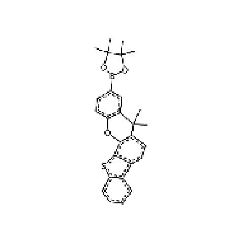 CC1(C)c2cc(B3OC(C)(C)C(C)(C)O3)ccc2Oc2c1ccc1c2sc2ccccc21